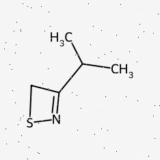 CC(C)C1=NSC1